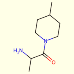 CC1CCN(C(=O)C(C)N)CC1